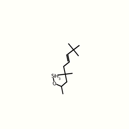 CC(CC(C)(C)CC=CC(C)(C)C)O[SiH3]